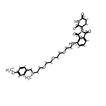 COc1ccc(CN(C)CCOCCOCCOCCNc2cccc3c2C(=O)N(C2CCC(=O)NC2=O)C3=O)cc1